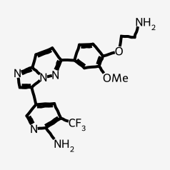 COc1cc(-c2ccc3ncc(-c4cnc(N)c(C(F)(F)F)c4)n3n2)ccc1OCCN